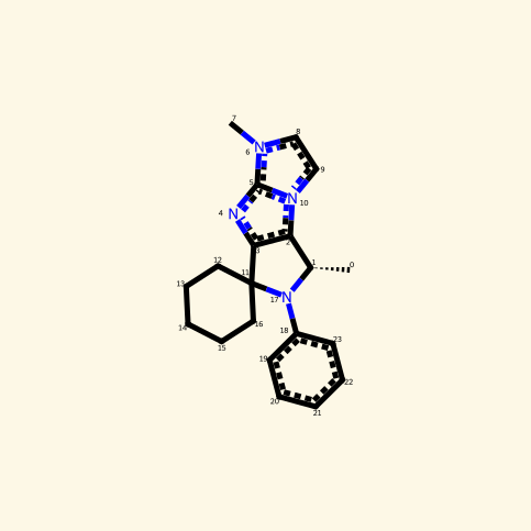 C[C@H]1c2c(nc3n(C)ccn23)C2(CCCCC2)N1c1ccccc1